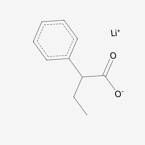 CCC(C(=O)[O-])c1ccccc1.[Li+]